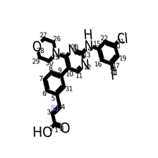 O=C(O)/C=C/c1cccc(-c2cnc(Nc3cc(F)cc(Cl)c3)nc2N2CCOCC2)c1